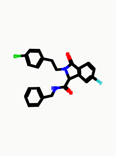 O=C(NCc1ccccc1)C1c2cc(F)ccc2C(=O)N1CCc1ccc(Cl)cc1